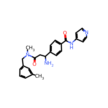 Cc1cccc(CN(C)C(=O)CC(N)c2ccc(C(=O)Nc3ccncc3)cc2)c1